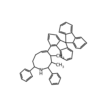 CC1/C(c2cccc3c2-c2ccccc2C32c3ccccc3-c3ccccc32)=C\CCC(c2ccccc2)NC(c2ccccc2)C1C